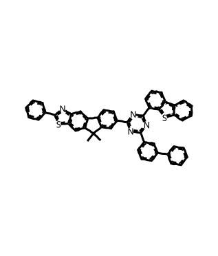 CC1(C)c2cc(-c3nc(-c4cccc(-c5ccccc5)c4)nc(-c4cccc5c4sc4ccccc45)n3)ccc2-c2cc3nc(-c4ccccc4)sc3cc21